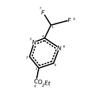 CCOC(=O)c1cnc(C(F)F)nc1